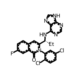 CC[C@@H](Nc1ncnc2[nH]cnc12)c1cc2ccc(F)cc2c(=O)n1-c1cc(Cl)ccc1Cl